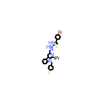 CC(C)c1nc(C=NNC2NC(c3ccc(Br)cc3)=CS2)cc2c3ccccc3n(Cc3ccc(F)cc3)c12